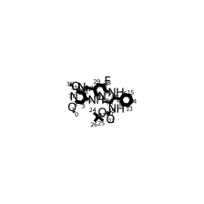 COc1cc(Nc2nc(N[C@H](c3ccccc3)[C@H](C)NC(=O)OC(C)(C)C)c(F)cc2C#N)cc(OC)n1